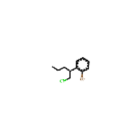 CCCC(CCl)c1ccccc1Br